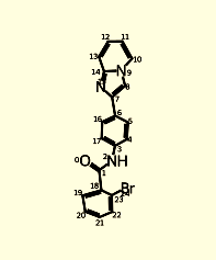 O=C(Nc1ccc(-c2cn3ccccc3n2)cc1)c1ccccc1Br